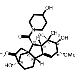 C=C1C[C@]23C[C@@]1(O)CC[C@H]2C1=C[C@@H](OC)[C@H](O)[C@@](C)(C(C)=O)[C@H]1[C@@H]3C(=O)N1CCC(O)CC1